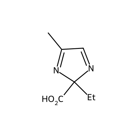 CCC1(C(=O)O)N=CC(C)=N1